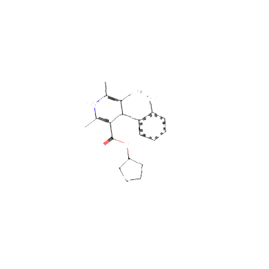 CC1=C(C#N)C(c2ccccc2[N+](=O)[O-])C(C(=O)OC2CCCC2)=C(C)N1